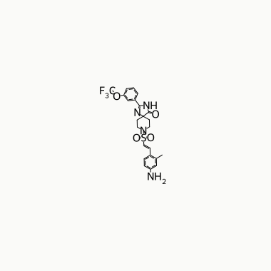 Cc1cc(N)ccc1/C=C/S(=O)(=O)N1CCC2(CC1)N=C(c1cccc(OC(F)(F)F)c1)NC2=O